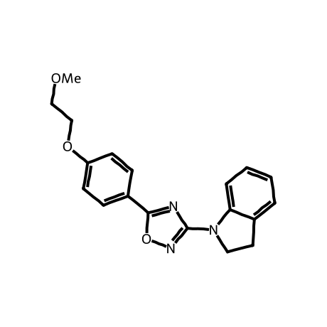 COCCOc1ccc(-c2nc(N3CCc4ccccc43)no2)cc1